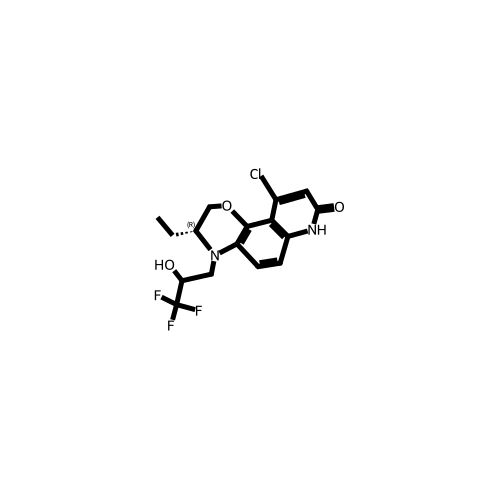 CC[C@@H]1COc2c(ccc3[nH]c(=O)cc(Cl)c23)N1CC(O)C(F)(F)F